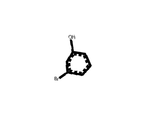 Oc1c[c]cc(Br)c1